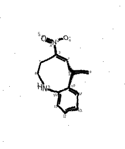 C=C1/C=C(/[N+](=O)[O-])CCNc2ccccc21